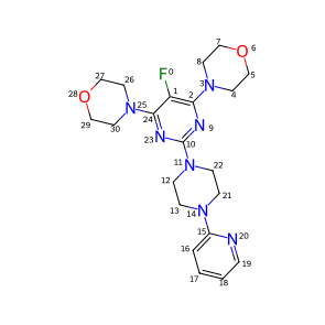 Fc1c(N2CCOCC2)nc(N2CCN(c3ccccn3)CC2)nc1N1CCOCC1